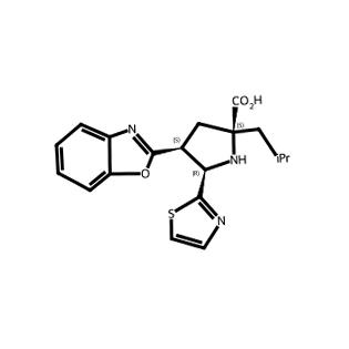 CC(C)C[C@@]1(C(=O)O)C[C@H](c2nc3ccccc3o2)[C@H](c2nccs2)N1